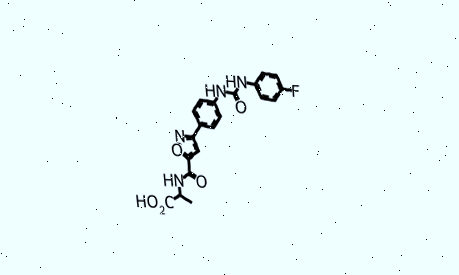 CC(NC(=O)c1cc(-c2ccc(NC(=O)Nc3ccc(F)cc3)cc2)no1)C(=O)O